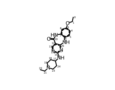 CCOc1ccc2c(c1)NC(=O)c1cnc(NC3CCN(CC)CC3)nc1N2